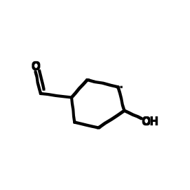 O=CC1C[CH]C(O)CC1